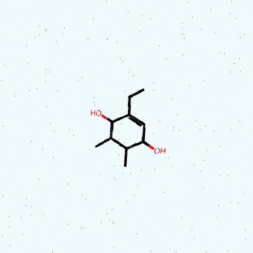 CCC1=CC(O)C(C)C(C)C1O